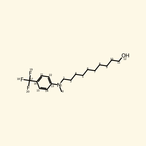 CN(CCCCCCCCCCO)c1ccc(C(F)(F)F)cc1